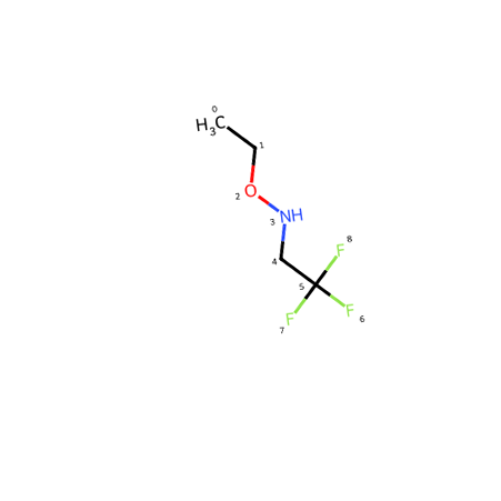 CCONCC(F)(F)F